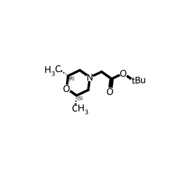 C[C@@H]1CN(CC(=O)OC(C)(C)C)C[C@H](C)O1